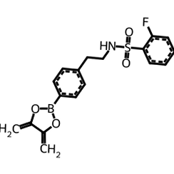 C=C1OB(c2ccc(CCNS(=O)(=O)c3ccccc3F)cc2)OC1=C